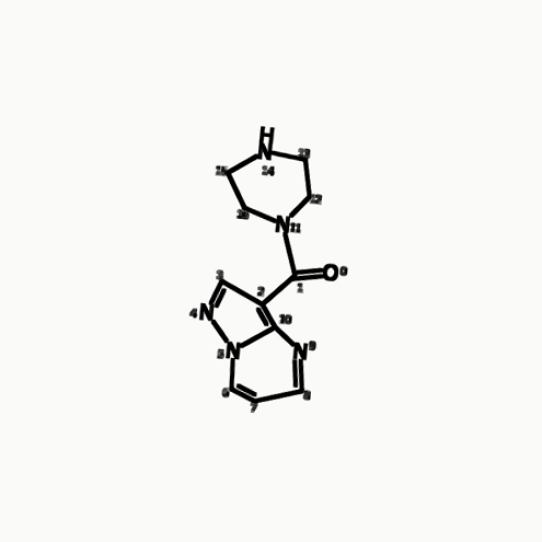 O=C(c1cnn2cccnc12)N1CCNCC1